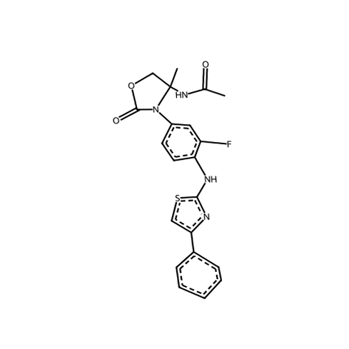 CC(=O)NC1(C)COC(=O)N1c1ccc(Nc2nc(-c3ccccc3)cs2)c(F)c1